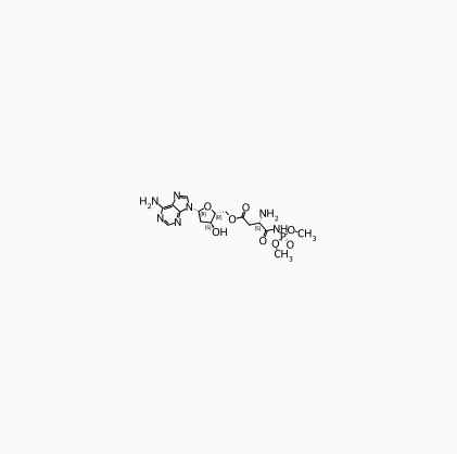 COP(=O)(NC(=O)[C@@H](N)CC(=O)OC[C@H]1O[C@@H](n2cnc3c(N)ncnc32)C[C@@H]1O)OC